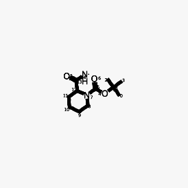 CC(C)(C)OC(=O)N1CCCCC1C([NH])=O